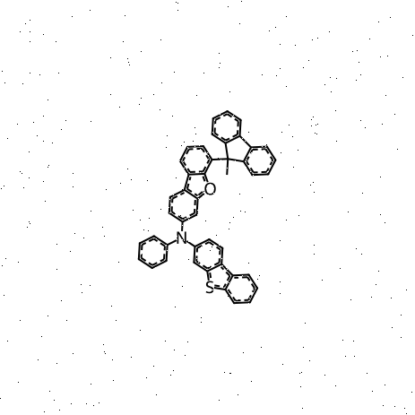 CC1(c2cccc3c2oc2cc(N(c4ccccc4)c4ccc5c(c4)sc4ccccc45)ccc23)c2ccccc2-c2ccccc21